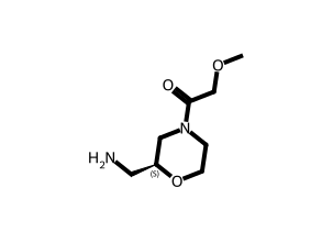 COCC(=O)N1CCO[C@@H](CN)C1